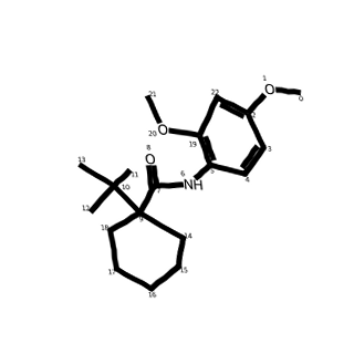 COc1ccc(NC(=O)C2(C(C)(C)C)CCCCC2)c(OC)c1